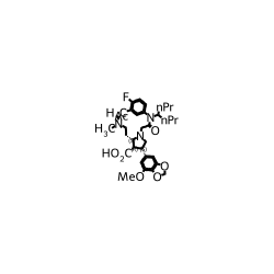 CCCC(CCC)N(C(=O)CN1C[C@H](c2cc(OC)c3c(c2)OCO3)[C@@H](C(=O)O)[C@@H]1CCN(C)C(C)=O)c1ccc(F)c(C)c1